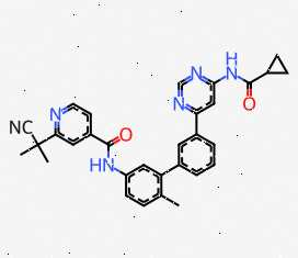 Cc1ccc(NC(=O)c2ccnc(C(C)(C)C#N)c2)cc1-c1cccc(-c2cc(NC(=O)C3CC3)ncn2)c1